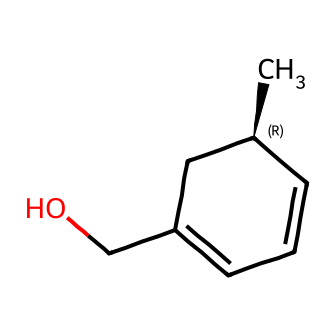 C[C@H]1C=CC=C(CO)C1